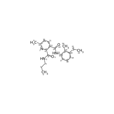 CCCNC(=O)c1nc(C)ccc1C(=O)Nc1cccc(SC)c1C